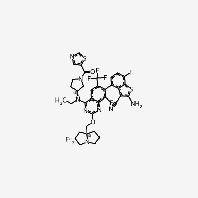 CCN(c1nc(OC[C@@]23CCCN2C[C@H](F)C3)nc2c(F)c(-c3ccc(F)c4sc(N)c(C#N)c34)c(C(F)(F)F)cc12)[C@H]1CCN(C(=O)c2cncs2)C1